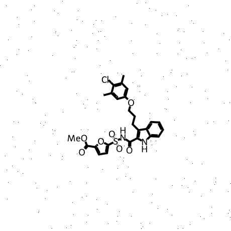 COC(=O)c1ccc(S(=O)(=O)NC(=O)c2[nH]c3ccccc3c2CCCOc2cc(C)c(Cl)c(C)c2)o1